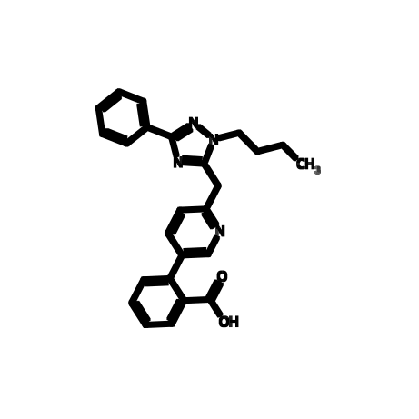 CCCCn1nc(-c2ccccc2)nc1Cc1ccc(-c2ccccc2C(=O)O)cn1